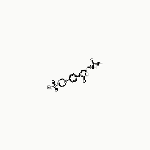 CCS(=O)(=O)N1CCN(c2ccc(N3C[C@H](CNC(=S)C(C)C)OC3=O)cc2)CC1